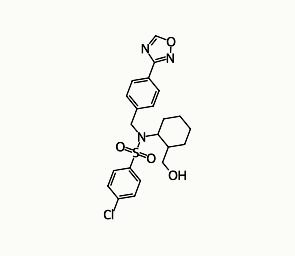 O=S(=O)(c1ccc(Cl)cc1)N(Cc1ccc(-c2ncon2)cc1)C1CCCCC1CO